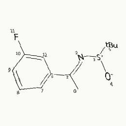 CC(=N[S+]([O-])C(C)(C)C)c1cccc(F)c1